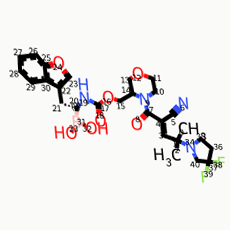 CC(C)(C=C(C#N)C(=O)N1CCOCC1COC(=O)N[C@@H](Cc1coc2ccccc12)B(O)O)N1CCC(F)(F)C1